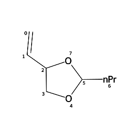 C=CC1COC(CCC)O1